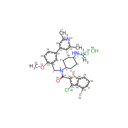 CNC1CCC(N(Cc2cc(-c3cc(C)nc(C)c3)ccc2OC)C(=O)c2sc3cccc(F)c3c2Cl)CC1.Cl.Cl